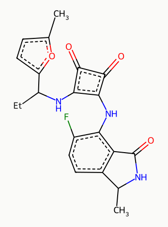 CCC(Nc1c(Nc2c(F)ccc3c2C(=O)NC3C)c(=O)c1=O)c1ccc(C)o1